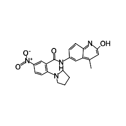 Cc1cc(O)nc2ccc(NC(=O)c3cc([N+](=O)[O-])ccc3N3CCCC3)cc12